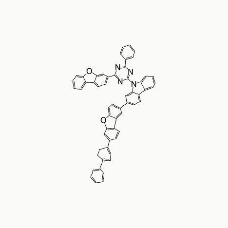 C1=C(c2ccccc2)CCC(c2ccc3c(c2)oc2ccc(-c4ccc5c6ccccc6n(-c6nc(-c7ccccc7)nc(-c7ccc8c(c7)oc7ccccc78)n6)c5c4)cc23)=C1